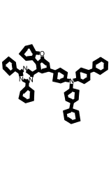 c1ccc(-c2ccc(N(c3ccc(-c4ccccc4)cc3)c3ccc(-c4cc(-c5nc(-c6ccccc6)nc(-c6ccccc6)n5)c5c(c4)oc4ccccc45)cc3)cc2)cc1